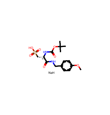 COc1ccc(CNC(=O)[C@H](CS(=O)(=O)O)NC(=O)OC(C)(C)C)cc1.[NaH]